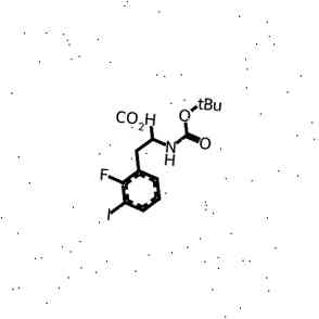 CC(C)(C)OC(=O)NC(Cc1cccc(I)c1F)C(=O)O